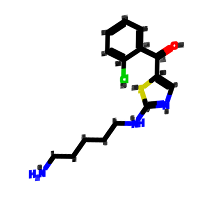 NCCCCCNc1ncc(C(=O)c2ccccc2Cl)s1